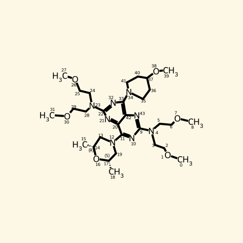 COCCN(CCOC)c1nc(N2C[C@@H](C)O[C@@H](C)C2)c2nc(N(CCOC)CCOC)nc(N3CCC(OC)CC3)c2n1